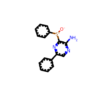 Nc1ncc(-c2ccccc2)nc1[S+]([O-])c1ccccc1